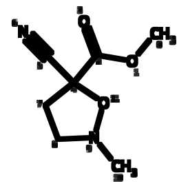 COC(=O)C1(C#N)CCN(C)O1